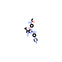 C=CC(=O)Nc1cccc(Oc2nc(Nc3ccc(N4CCN(C)CC4)cc3)nc3[nH]cc(C4CC4)c23)c1